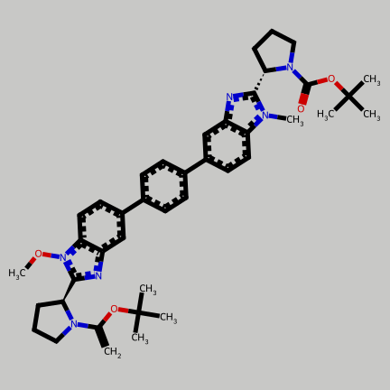 C=C(OC(C)(C)C)N1CCC[C@H]1c1nc2cc(-c3ccc(-c4ccc5c(c4)nc([C@@H]4CCCN4C(=O)OC(C)(C)C)n5C)cc3)ccc2n1OC